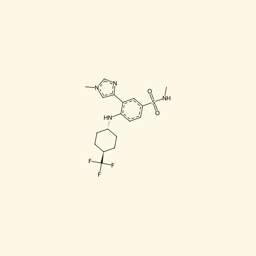 CNS(=O)(=O)c1ccc(N[C@H]2CC[C@H](C(F)(F)F)CC2)c(-c2cn(C)cn2)c1